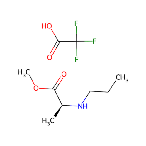 CCCN[C@@H](C)C(=O)OC.O=C(O)C(F)(F)F